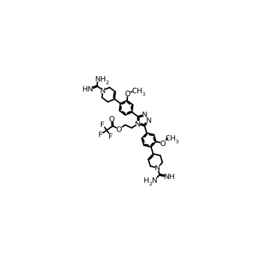 COc1cc(-c2nnc(-c3ccc(C4=CCN(C(=N)N)CC4)c(OC)c3)n2CCOC(=O)C(F)(F)F)ccc1C1=CCN(C(=N)N)CC1